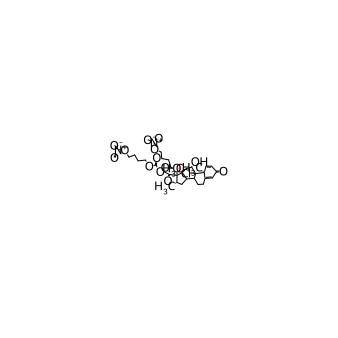 C[C@H]1CC2C3CCC4=CC(=O)C=C[C@]4(C)[C@@]3(Cl)[C@@H](O)C[C@]2(C)[C@@]1(OC(=O)CCCO[N+](=O)[O-])C(=O)COC(=O)OCCCCO[N+](=O)[O-]